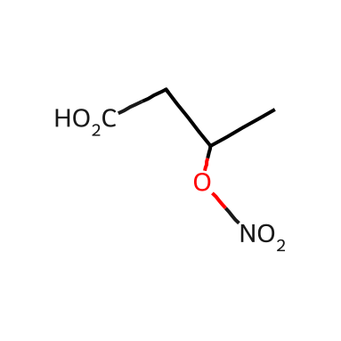 CC(CC(=O)O)O[N+](=O)[O-]